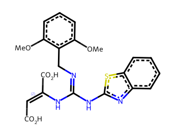 COc1cccc(OC)c1CN=C(N/C(=C\C(=O)O)C(=O)O)Nc1nc2ccccc2s1